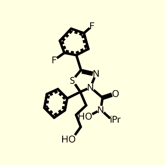 CC(C)N(O)C(=O)N1N=C(c2cc(F)ccc2F)SC1(CCCO)c1ccccc1